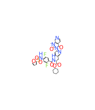 Cn1c(=O)n(-c2ccc(C[C@H](NC(=O)c3cc(F)c(NS(=O)(=O)c4ccco4)cc3F)C(=O)OC3CCCCC3)cn2)c(=O)c2ccncc21